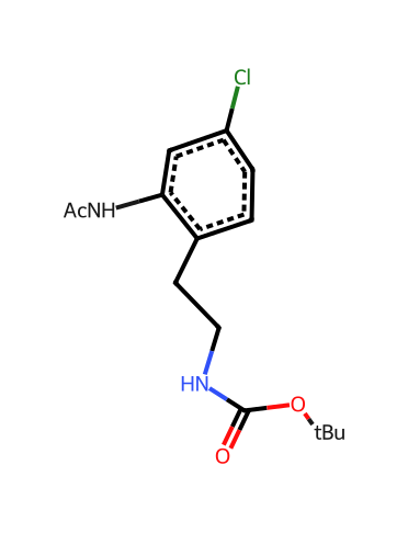 CC(=O)Nc1cc(Cl)ccc1CCNC(=O)OC(C)(C)C